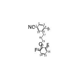 N#Cc1ccc(I)c(CCCOc2c(F)cccc2F)c1